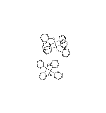 N#CC(c1ccccc1)(c1ccccc1)C(C#N)(c1ccccc1)c1ccccc1.c1ccc(OC(c2ccccc2)(c2ccccc2)C(Oc2ccccc2)(c2ccccc2)c2ccccc2)cc1